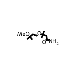 COC(C)(C)CCOC(C)(C)CC(N)=O